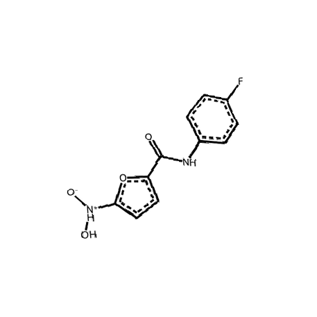 O=C(Nc1ccc(F)cc1)c1ccc([NH+]([O-])O)o1